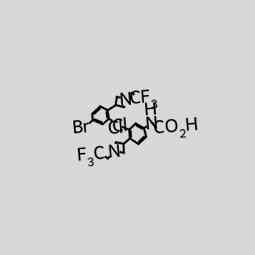 FC(F)(F)CN1CC(c2ccc(Br)cc2Cl)C1.O=C(O)Nc1ccc(C2CN(CC(F)(F)F)C2)c(Cl)c1